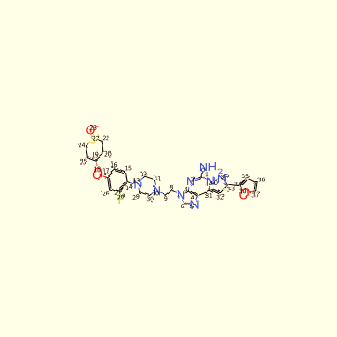 Nc1nc2c(ncn2CCN2CCN(c3ccc(O[C@H]4CC[S@+]([O-])CC4)cc3F)CC2)c2cc(-c3ccco3)nn12